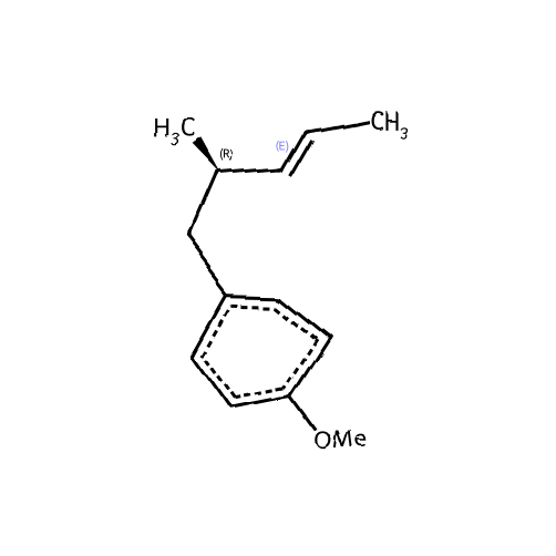 C/C=C/[C@H](C)Cc1ccc(OC)cc1